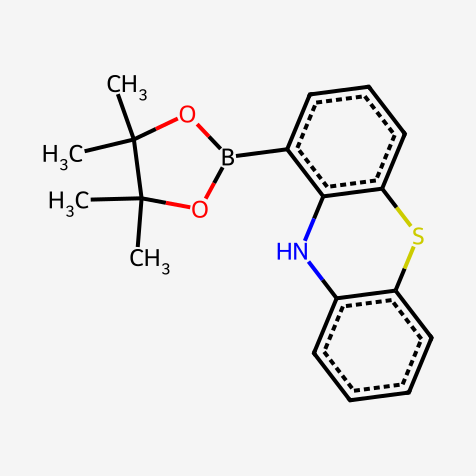 CC1(C)OB(c2cccc3c2Nc2ccccc2S3)OC1(C)C